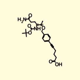 C[C@@H](OCc1ccc(C#CCCCC(=O)O)cc1)[C@H](CCC(N)=O)NC(=O)OC(C)(C)C